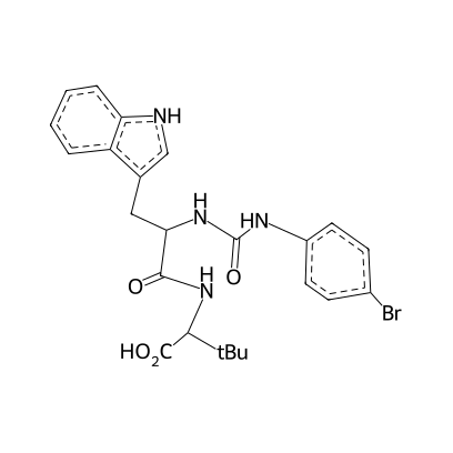 CC(C)(C)C(NC(=O)C(Cc1c[nH]c2ccccc12)NC(=O)Nc1ccc(Br)cc1)C(=O)O